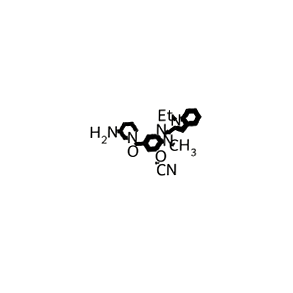 CCn1c(-c2nc3cc(C(=O)N4CCCC(N)C4)cc(OCC#N)c3n2C)cc2ccccc21